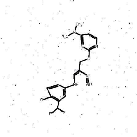 CN(C)c1ccnc(OC/C(=C/Nc2ccc(Cl)c(C(F)F)c2)N=N)n1